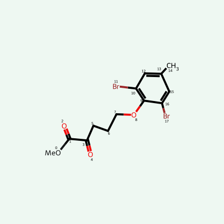 COC(=O)C(=O)CCCOc1c(Br)cc(C)cc1Br